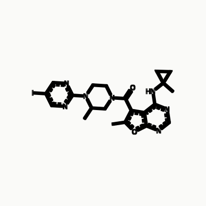 Cc1oc2ncnc(NC3(C)CC3)c2c1C(=O)N1CCN(c2ncc(I)cn2)C(C)C1